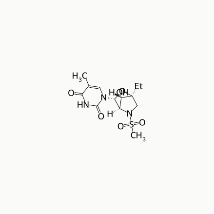 CC[C@@]12CN(S(C)(=O)=O)[C@@H]([C@H](n3cc(C)c(=O)[nH]c3=O)O1)[C@@H]2O